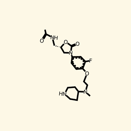 CC(=O)NC[C@H]1CN(c2ccc(OCCN(C)C3CCNCC3)c(F)c2)C(=O)O1